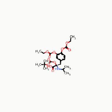 CCOC(=O)Oc1ccc(C[C@](NC(C)C)(OC(=O)OC(C)(C)C)C(=O)O)cc1OC(=O)OCC